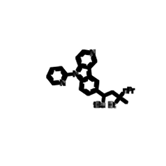 CCCC(C)(CC)CC(c1ccc2c(c1)c1cnccc1n2-c1ccccn1)C(C)(C)C